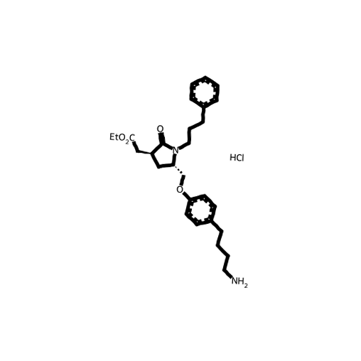 CCOC(=O)C[C@@H]1C[C@@H](COc2ccc(CCCCN)cc2)N(CCCc2ccccc2)C1=O.Cl